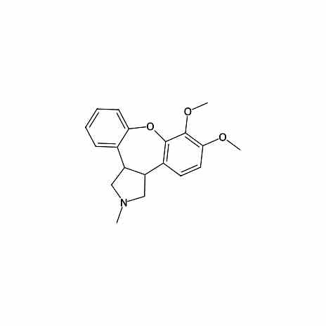 COc1ccc2c(c1OC)Oc1ccccc1C1CN(C)CC21